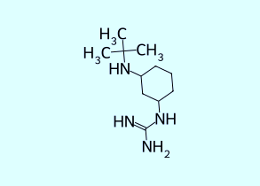 CC(C)(C)NC1CCCC(NC(=N)N)C1